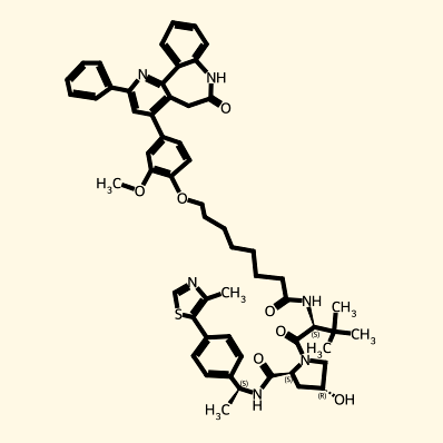 COc1cc(-c2cc(-c3ccccc3)nc3c2CC(=O)Nc2ccccc2-3)ccc1OCCCCCCCC(=O)N[C@H](C(=O)N1C[C@H](O)C[C@H]1C(=O)N[C@@H](C)c1ccc(-c2scnc2C)cc1)C(C)(C)C